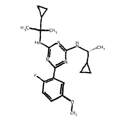 COc1ccc(F)c(-c2nc(N[C@H](C)C3CC3)nc(NC(C)(C)C3CC3)n2)c1